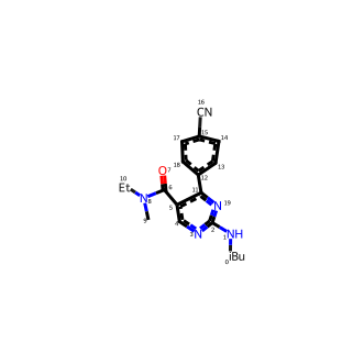 CCC(C)Nc1ncc(C(=O)N(C)CC)c(-c2ccc(C#N)cc2)n1